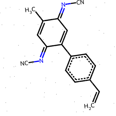 C=Cc1ccc(C2=CC(=N\C#N)/C(C)=CC/2=N\C#N)cc1